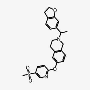 CC(c1ccc2c(c1)OCC2)N1CCc2cc(Oc3ccc(S(C)(=O)=O)cn3)ccc2C1